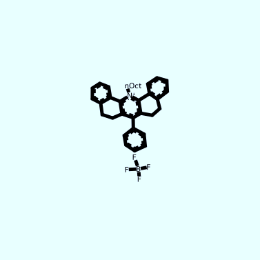 CCCCCCCC[n+]1c2c(c(-c3ccccc3)c3c1-c1ccccc1CC3)CCc1ccccc1-2.F[B-](F)(F)F